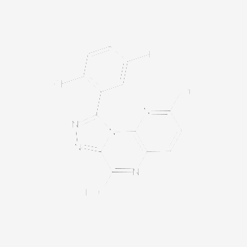 Cc1nc2ccc(C(C)C)nc2n2c(-c3cc(I)ccc3Cl)nnc12